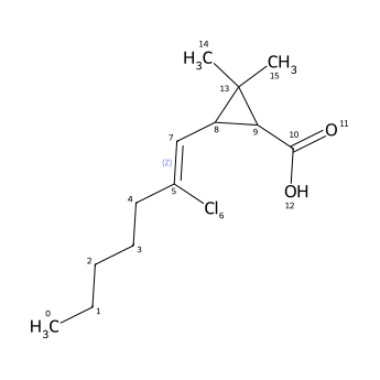 CCCCC/C(Cl)=C/C1C(C(=O)O)C1(C)C